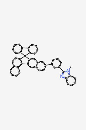 Cn1c(-c2cccc(-c3ccc4cc5c(cc4c3)C3(c4ccccc4-c4ccccc43)c3ccc4ccccc4c3-5)c2)nc2ccccc21